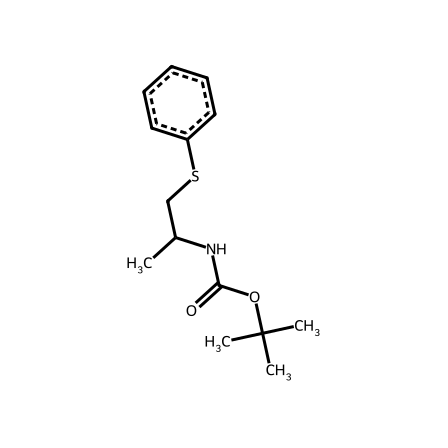 CC(CSc1ccccc1)NC(=O)OC(C)(C)C